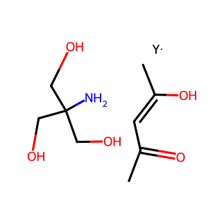 CC(=O)/C=C(/C)O.NC(CO)(CO)CO.[Y]